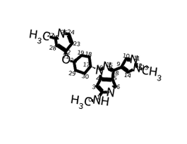 CNc1cc2c(cn1)c(-c1cnn(C)c1)nn2[C@H]1CC[C@H](Oc2ccnc(C)c2)CC1